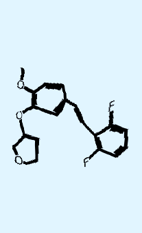 COc1ccc(/C=C/c2c(F)cccc2F)cc1OC1CCOC1